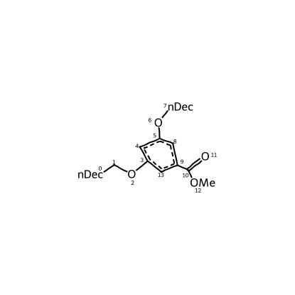 CCCCCCCCCCCOc1cc(OCCCCCCCCCC)cc(C(=O)OC)c1